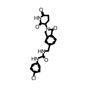 O=C1CCC(N2Cc3cc(CNC(=O)Nc4ccc(Cl)cc4)ccc3C2=O)C(=O)N1